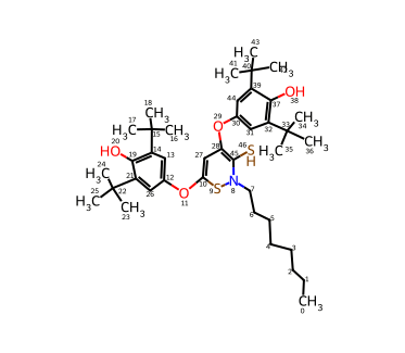 CCCCCCCCN1SC(Oc2cc(C(C)(C)C)c(O)c(C(C)(C)C)c2)=CC(Oc2cc(C(C)(C)C)c(O)c(C(C)(C)C)c2)=C1S